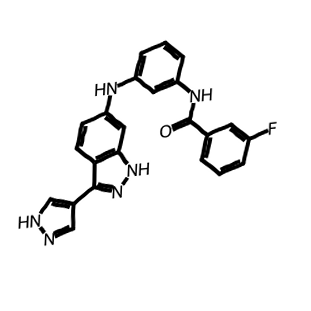 O=C(Nc1cccc(Nc2ccc3c(-c4cn[nH]c4)n[nH]c3c2)c1)c1cccc(F)c1